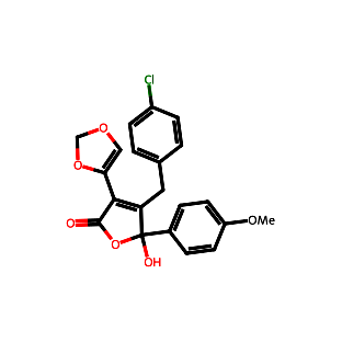 COc1ccc(C2(O)OC(=O)C(C3=COCO3)=C2Cc2ccc(Cl)cc2)cc1